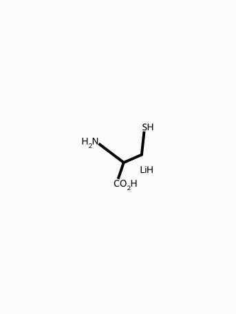 NC(CS)C(=O)O.[LiH]